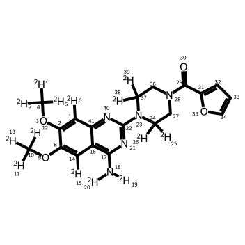 [2H]c1c(OC([2H])([2H])[2H])c(OC([2H])([2H])[2H])c([2H])c2c(N([2H])[2H])nc(N3C([2H])([2H])CN(C(=O)c4ccco4)CC3([2H])[2H])nc12